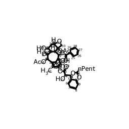 CCCCCC(=O)O[C@@H](c1ccccc1)[C@@H](O)C(=O)O[C@@H]1C[C@@]2(O)[C@H](OC(=O)c3ccccc3)[C@H]3[C@@]4(OC(C)=O)CO[C@@H]4C[C@H](O)[C@@]3(C)C(=O)[C@H](OC(C)=O)C(=C1C)C2(C)C